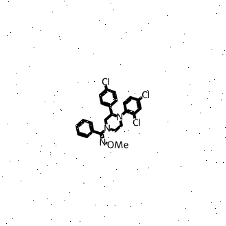 CON=C(c1ccccc1)N1CCN(c2ccc(Cl)cc2Cl)C(c2ccc(Cl)cc2)C1